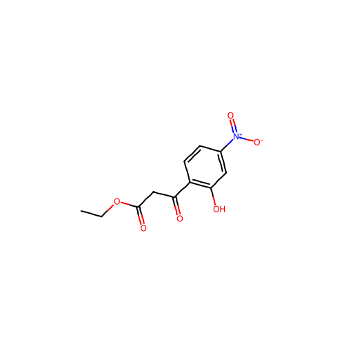 CCOC(=O)CC(=O)c1ccc([N+](=O)[O-])cc1O